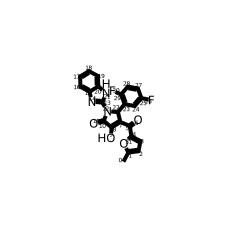 Cc1ccc(C(=O)C2=C(O)C(=O)N(c3nc4ccccc4[nH]3)C2c2cc(F)ccc2F)o1